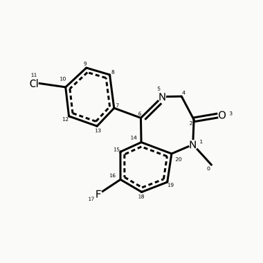 CN1C(=O)CN=C(c2ccc(Cl)cc2)c2cc(F)ccc21